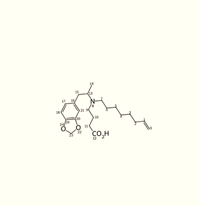 C=CCCCCCCN(CCCC(=O)O)C(C)Cc1ccc2c(c1)OCO2